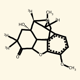 [2H]C1([2H])C[C@]2(O)[C@@]34CCN(C)[C@]2([2H])C([2H])([2H])c2ccc(OC)c(c23)OC4C1=O